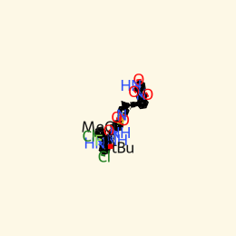 COc1cc(S(=O)(=O)N2CCC3(CC2)C[C@H]3C#Cc2cccc3c2CN([C@H]2CCC(=O)NC2=O)C3=O)ccc1NC(=O)[C@@H]1N[C@@H](CC(C)(C)C)[C@@]2(CNc3cc(Cl)ccc32)[C@H]1c1cccc(Cl)c1F